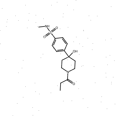 CCC(=O)N1CCC(O)(c2ccc(S(=O)(=O)NC)cc2)CC1